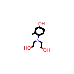 Cc1cc(O)ccc1N(CCO)CCO